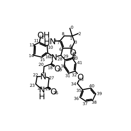 CC1(C)CC(=O)C2=C(C1)Nc1c(O)cccc1N(C(=O)CN1CCNC(=O)C1)C2c1ccc(OCc2ccccc2)cc1F